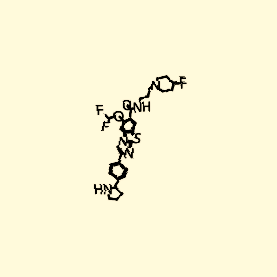 O=C(NCCCN1CCC(F)CC1)c1cc2sc3nc(-c4ccc(C5CCCN5)cc4)cn3c2cc1OC(F)F